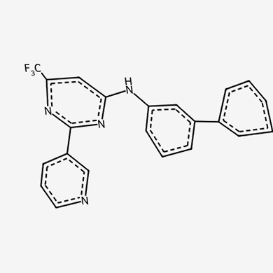 FC(F)(F)c1cc(Nc2cccc(-c3ccccc3)c2)nc(-c2cccnc2)n1